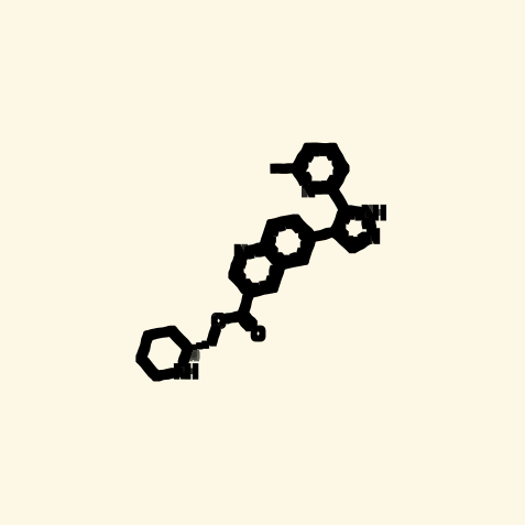 Cc1cccc(-c2[nH]ncc2-c2ccc3ncc(C(=O)OC[C@H]4CCCCN4)cc3c2)n1